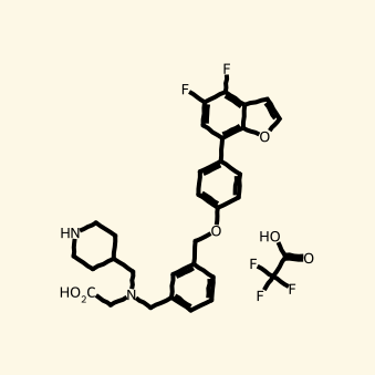 O=C(O)C(F)(F)F.O=C(O)CN(Cc1cccc(COc2ccc(-c3cc(F)c(F)c4ccoc34)cc2)c1)CC1CCNCC1